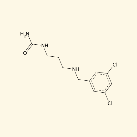 NC(=O)NCCCNCc1cc(Cl)cc(Cl)c1